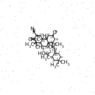 CC1CC(C)(C)CC[C@]1(CCO)CC[C@]1(C)CC(=O)C[C@@H]2[C@@]3(C)C=C(C#N)C(=O)C(C)(C)C3CC[C@]21C